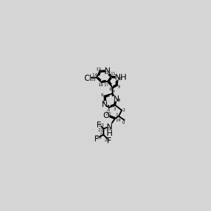 CC(Cc1cncc(-c2c[nH]c3ncc(Cl)cc23)n1)C(=O)NC(F)C(F)F